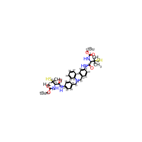 CC(C)(C)OC(=O)N[C@H](C(=O)Nc1ccc(CN(Cc2ccc(NC(=O)[C@@H](NC(=O)OC(C)(C)C)C(C)(C)S)cc2)c2ccccc2)cc1)C(C)(C)S